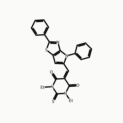 CCN1C(=O)C(=Cc2cc3sc(-c4ccccc4)nc3n2-c2ccccc2)C(=O)N(CC)C1=S